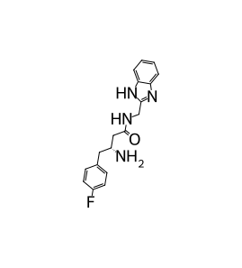 N[C@@H](CC(=O)NCc1nc2ccccc2[nH]1)Cc1ccc(F)cc1